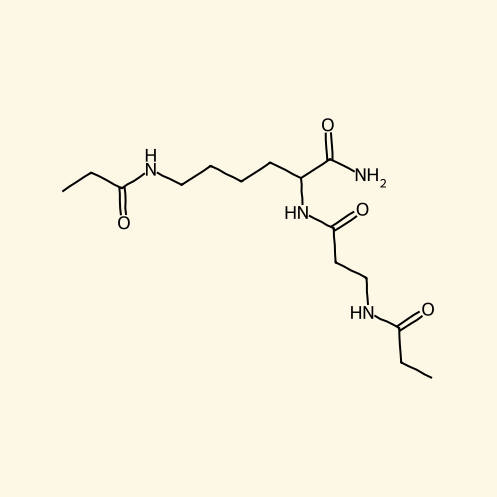 CCC(=O)NCCCCC(NC(=O)CCNC(=O)CC)C(N)=O